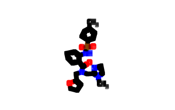 Cc1ccc(S(=O)(=O)Nc2ccccc2C(=O)N(CC2=CCCO2)Cc2nccn2C)cc1